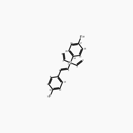 C=C[Si](C=C)(C=Cc1ccc(F)cc1)c1ccc(F)cc1